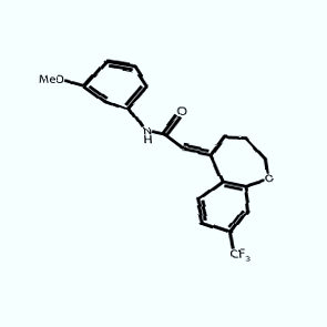 COc1cccc(NC(=O)C=C2CCCOc3cc(C(F)(F)F)ccc32)c1